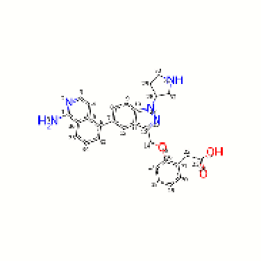 Nc1nccc2c(-c3ccc4c(c3)c(COc3ccccc3CC(=O)O)nn4C3CCNC3)cccc12